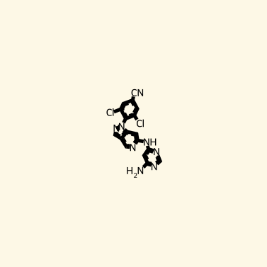 N#Cc1cc(Cl)c(-n2ncc3cnc(Nc4cc(N)ncn4)cc32)c(Cl)c1